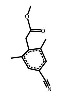 COC(=O)Cc1c(C)cc(C#N)cc1C